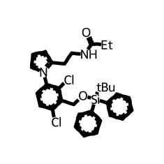 CCC(=O)NCCc1cccn1-c1ccc(Cl)c(CO[Si](c2ccccc2)(c2ccccc2)C(C)(C)C)c1Cl